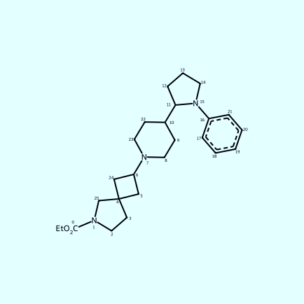 CCOC(=O)N1CCC2(CC(N3CCC(C4CCCN4c4ccccc4)CC3)C2)C1